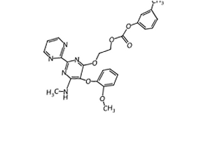 CNc1nc(-c2ncccn2)nc(OCCOC(=O)Oc2cccc(C)c2)c1Oc1ccccc1OC